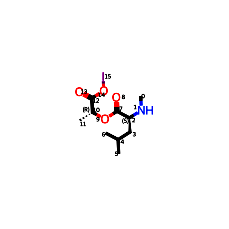 CN[C@@H](CC(C)C)C(=O)O[C@H](C)C(=O)OI